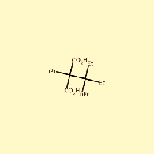 CCCC(CC)(CC)C(C(=O)O)(C(=O)O)C(C)C